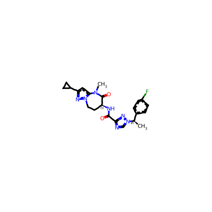 C[C@H](c1ccc(F)cc1)n1cnc(C(=O)N[C@H]2CCn3nc(C4CC4)cc3N(C)C2=O)n1